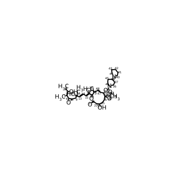 CCC(O)C(C)C1OC1CC(C)(O)/C=C/C=C(\C)C1OC(=O)CC(O)CCC(C)(OC)C(OC(=O)N2CCC(N3CCCCC3)CC2)/C=C/C1C